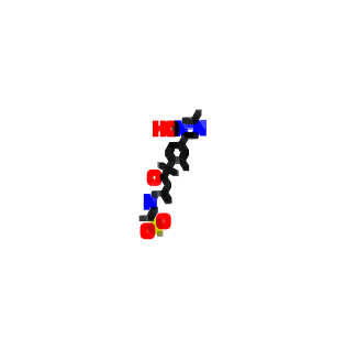 C=C(/C=N\C=C(/C)S(C)(=O)=O)CC(=O)C(C)(C)c1ccc(-c2cnc(C)c[n+]2O)cc1C